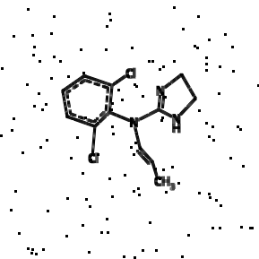 CC=CN(C1=NCCN1)c1c(Cl)cccc1Cl